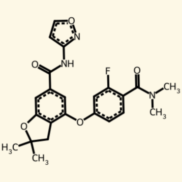 CN(C)C(=O)c1ccc(Oc2cc(C(=O)Nc3ccon3)cc3c2CC(C)(C)O3)cc1F